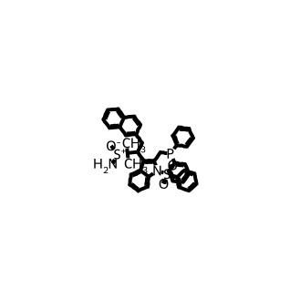 CC(C)(C(Cc1ccc2ccccc2c1)c1c(CP(c2ccccc2)c2ccccc2)n(S(=O)(=O)c2ccccc2)c2ccccc12)[S+](N)[O-]